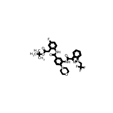 CC(C)(C)OC(=O)Cc1cc(F)ccc1NC(=O)c1ccc(N2CCOCC2)c(NC(=O)c2nn(CC(F)(F)F)c3ccccc23)c1